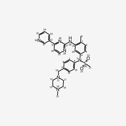 Cc1ccc(N(c2ccc(CN3CCN(C)CC3)cc2)S(C)(=O)=O)cc1Nc1nccc(-c2cccnc2)n1